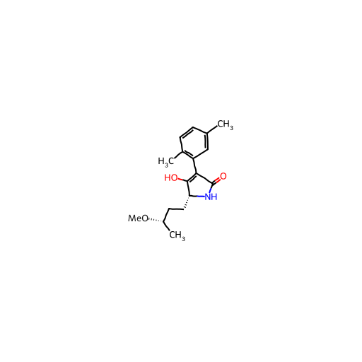 CO[C@@H](C)CC[C@H]1NC(=O)C(c2cc(C)ccc2C)=C1O